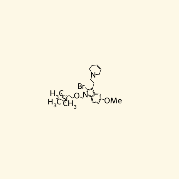 COc1ccc2c(c1)c(CCN1CC=CCC1)c(Br)n2COCC[Si](C)(C)C